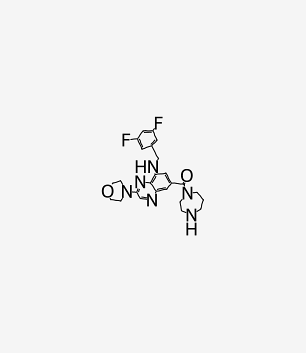 O=C(c1cc(NCc2cc(F)cc(F)c2)c2nc(N3CCOCC3)cnc2c1)N1CCCNCC1